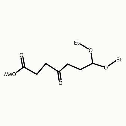 CCOC(CCC(=O)CCC(=O)OC)OCC